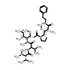 CC[C@H](C)[C@@H]([C@@H](CC(=O)N1CCC[C@H]1[C@H](OC)[C@@H](C)C(=O)NCCc1ccccc1)OC)N(C)C(=O)C(NC(=O)[C@H](C(C)C)N(C)C)C(C)C